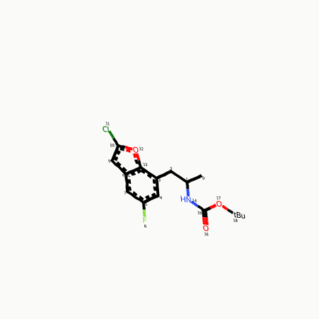 CC(Cc1cc(F)cc2cc(Cl)oc12)NC(=O)OC(C)(C)C